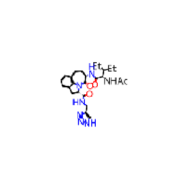 CCC(CC)[C@H](NC(C)=O)C(=O)N[C@H]1CCc2cccc3c2N(C1=O)[C@H](C(=O)NCc1c[nH]nn1)C3